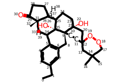 CCc1ccc2c(c1)C[C@]13CCC4(CC(C)(C)COO4)C[C@]1(O)CC[C@H]1[C@@H]4CCC(=O)[C@@]4(C)C[C@H]2[C@@]13O